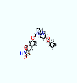 CN(CCOc1ccc(CC2SC(=O)NC2=O)cc1)c1ccc(OCc2ccccc2)cn1